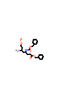 CC(CCOP=O)CC(CCC(=O)OCc1ccccc1)NC(=O)OCc1ccccc1